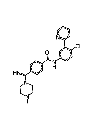 CN1CCN(C(=N)c2ccc(C(=O)Nc3ccc(Cl)c(-c4ccccn4)c3)cc2)CC1